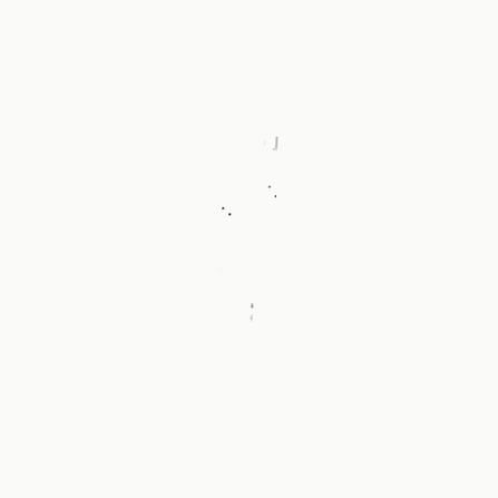 Cl[N+]=Nc1ccccc1